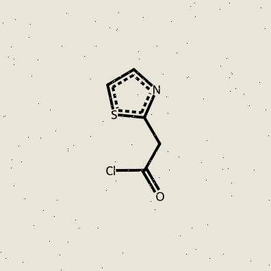 O=C(Cl)Cc1nccs1